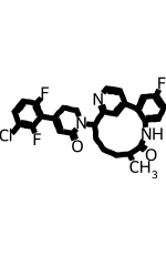 CC1CCCC(N2CCC(c3c(F)ccc(Cl)c3F)=CC2=O)c2cc(ccn2)-c2cc(F)ccc2NC1=O